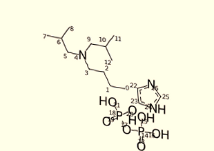 CCCCN(CC(C)C)CC(C)C.O=P(O)(O)OP(=O)(O)O.c1c[nH]cn1